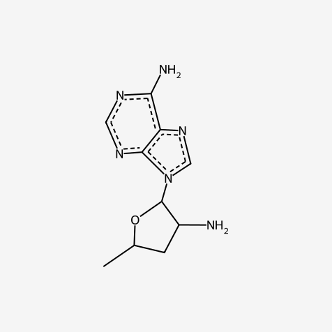 CC1CC(N)C(n2cnc3c(N)ncnc32)O1